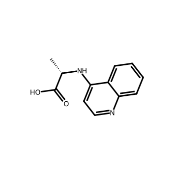 C[C@H](Nc1ccnc2ccccc12)C(=O)O